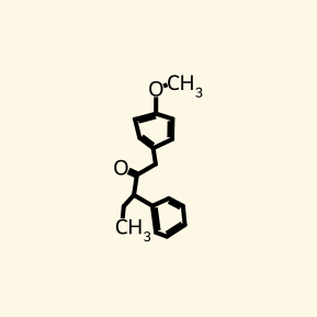 CCC(C(=O)Cc1ccc(OC)cc1)c1ccccc1